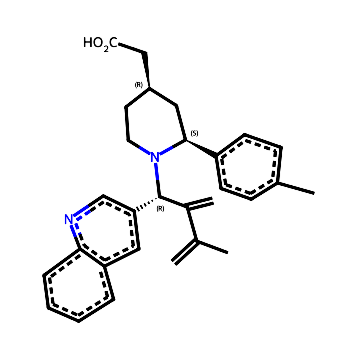 C=C(C)C(=C)[C@H](c1cnc2ccccc2c1)N1CC[C@@H](CC(=O)O)C[C@H]1c1ccc(C)cc1